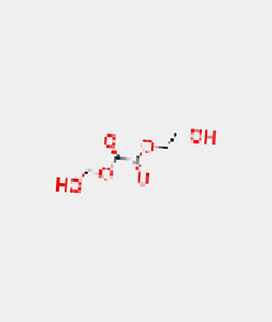 O=C(OCO)C(=O)OCCO